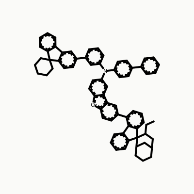 CCC1CC2CCCC(C2)C12c1ccccc1-c1c(-c3ccc4oc5ccc(N(c6ccc(-c7ccccc7)cc6)c6cccc(-c7ccc8c(c7)-c7ccccc7C87CCCCC7)c6)cc5c4c3)cccc12